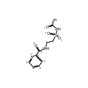 CC(C)C(=O)NS(=O)(=O)CCNC(=O)c1ccccn1